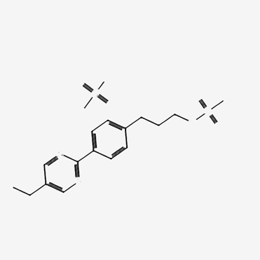 CCc1cnc(-c2ccc(CCCOS(C)(=O)=O)cc2)nc1.CS(=O)(=O)O